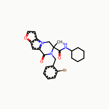 CC1(C(=O)NC2CCCCC2)Cn2c(cc3occc32)C(=O)N1Cc1ccccc1Br